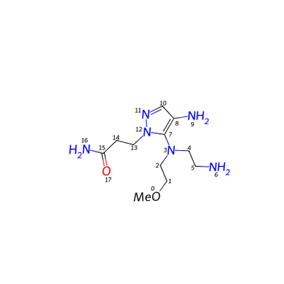 COCCN(CCN)c1c(N)cnn1CCC(N)=O